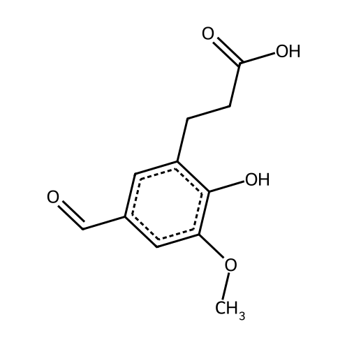 COc1cc(C=O)cc(CCC(=O)O)c1O